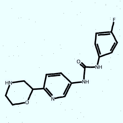 O=C(Nc1ccc(F)cc1)Nc1ccc(C2CNCCO2)nc1